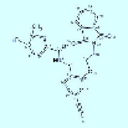 Cc1cc(C(=O)NCc2ccc(C#N)cc2OCCN2C(=O)c3ccccc3C2=O)ccc1F